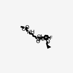 CCOC(=O)CNCCCCCS(=O)(=O)N[C@@H](C)c1ccc(F)c(OCC2CC2)c1